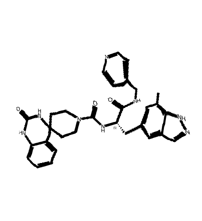 Cc1cc(C[C@H](NC(=O)N2CCC3(CC2)NC(=O)Nc2ccccc23)C(=O)NCc2ccncc2)cc2cn[nH]c12